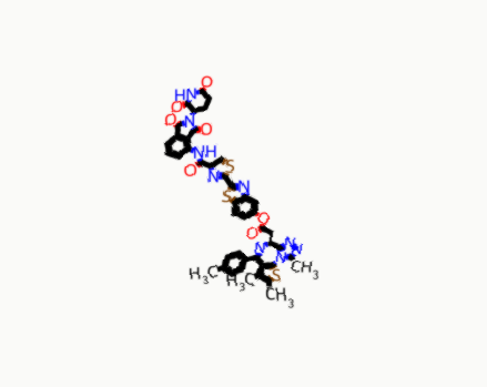 Cc1ccc(C2=N[C@@H](CC(=O)Oc3ccc4sc(C5=NC(C(=O)Nc6cccc7c6C(=O)N(C6CCC(=O)NC6=O)C7=O)CS5)nc4c3)c3nnc(C)n3-c3sc(C)c(C)c32)cc1